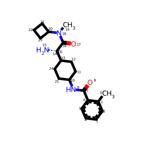 Cc1ccccc1C(=O)NC1CCC([C@H](N)C(=O)N(C)C2CCC2)CC1